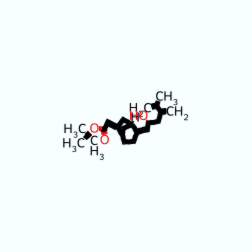 C=C(C)C(=C)C[C@@H](O)/C=C1/CCC2C[C@H]1C/C2=C/C(=O)OC(C)(C)C